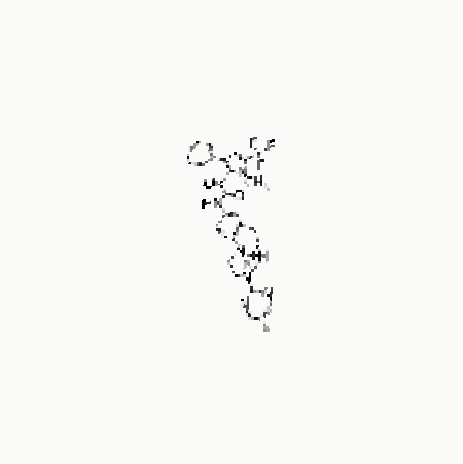 Cn1c(C(F)(F)F)cc(-c2ccccc2)c1C(=O)C(=O)Nc1ccc2c(c1)CC[C@@H]1CN(c3ncc(F)cn3)CCN21